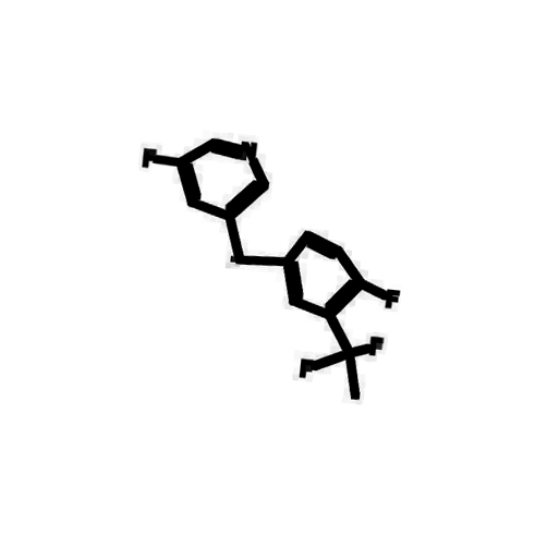 CC(F)(F)c1cc([CH]c2cncc(F)c2)ccc1F